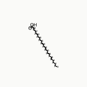 CCCCCC=CCC=CCC=CCC=CCCCCCCCCCC(=O)O